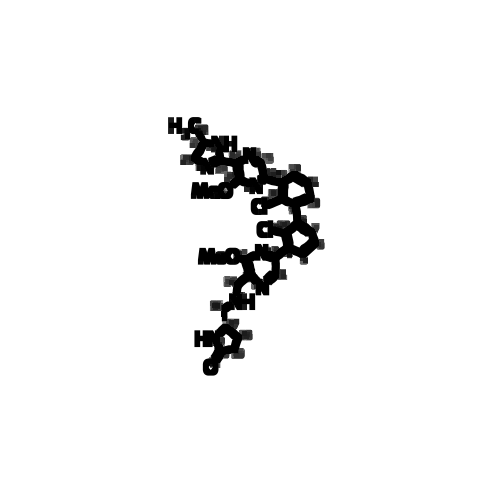 COc1nc(-c2cccc(-c3cccc(-c4cnc(C5=NC[C@@H](C)N5)c(OC)n4)c3Cl)c2Cl)cnc1CNC[C@@H]1CCC(=O)N1